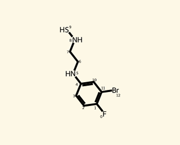 Fc1ccc(NCCNS)cc1Br